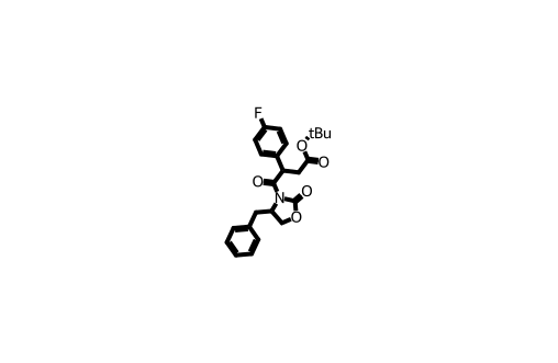 CC(C)(C)OC(=O)CC(C(=O)N1C(=O)OCC1Cc1ccccc1)c1ccc(F)cc1